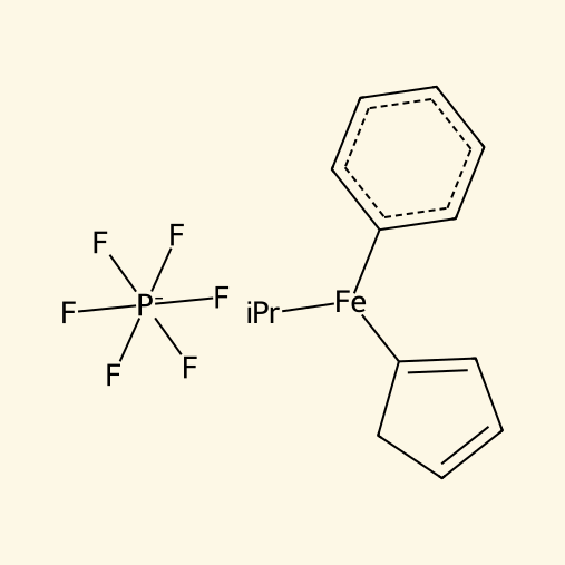 C[CH](C)[Fe]([C]1=CC=CC1)[c]1ccccc1.F[P-](F)(F)(F)(F)F